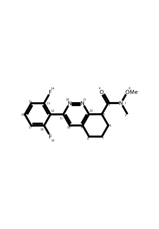 CON(C)C(=O)C1CCCc2cc(-c3c(F)cccc3F)nnc21